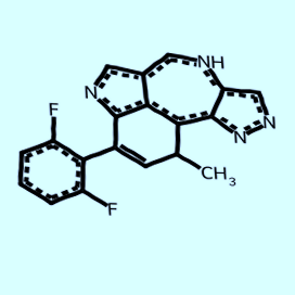 CC1C=C(c2c(F)cccc2F)c2ncc3c[nH]c4cnnc-4c1c2-3